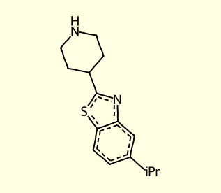 CC(C)c1ccc2sc(C3CCNCC3)nc2c1